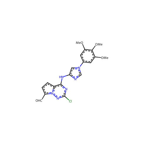 COc1cc(-n2cnc(Nc3nc(Cl)nn4c(C=O)ccc34)c2)cc(OC)c1OC